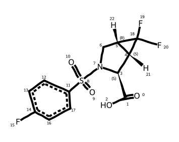 O=C(O)[C@@H]1[C@@H]2[C@H](CN1S(=O)(=O)c1ccc(F)cc1)C2(F)F